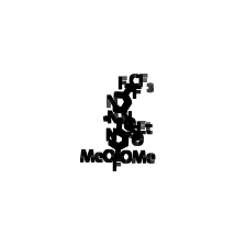 CCS(=O)(=O)c1cc(C(F)(OC)OC)cnc1-c1nc2cc(C(F)(F)C(F)(F)F)cnc2n1C